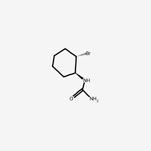 NC(=O)N[C@H]1CCCC[C@@H]1Br